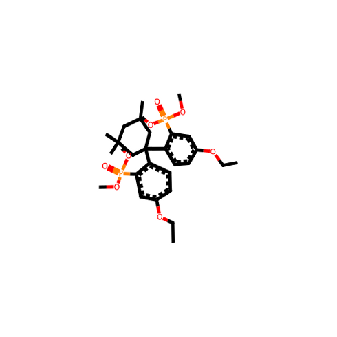 CCOc1ccc(C2(c3ccc(OCC)cc3P(=O)(OC)OC)CC(C)CC(C)(C)C2)c(P(=O)(OC)OC)c1